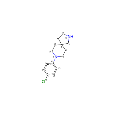 Clc1ccc(N2CCC3(CCNC3)CC2)cc1